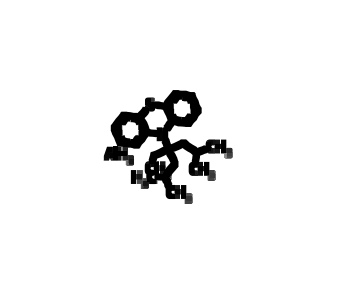 [AlH3].[CH2]CC(CC(C)C)(CC(C)C)N1c2ccccc2Sc2ccccc21